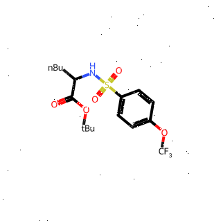 CCCCC(NS(=O)(=O)c1ccc(OC(F)(F)F)cc1)C(=O)OC(C)(C)C